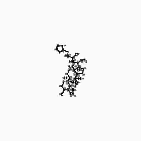 CC(NC(=O)NCc1cccs1)[C@H]1CC[C@H]2[C@@H]3CC[C@H]4N(C)C(=O)C=C[C@]4(C)[C@H]3CC[C@]12C